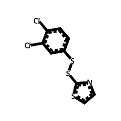 Clc1ccc(SSc2nccs2)cc1Cl